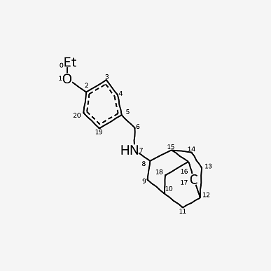 CCOc1ccc(CNC2CC3CC4CCC2C(C4)C3)cc1